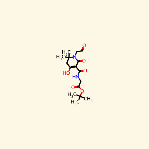 CC(C)(C)OC(=O)CNC(=O)C1=C(O)CC(C)(C)N(CC=O)C1=O